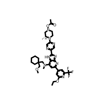 CCOc1cc(-c2cc(N(C)CC3(COC)CCCCC3)c3[nH]c(-c4cnc(N5CCN(OC(C)=O)C[C@H]5C)cn4)nc3n2)cc(C(F)(F)F)n1